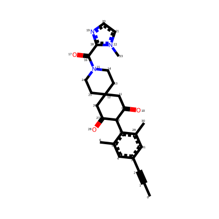 CC#Cc1cc(C)c(C2C(=O)CC3(CCN(C(=O)c4nccn4C)CC3)CC2=O)c(C)c1